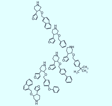 CC(C)(C)c1ccc(COC2CNCCC2c2ccoc2)cc1.c1ccc(-c2ccc(COC3CNCCC3c3ccoc3)cc2)cc1.c1ccc(COC2CNCCC2c2ccoc2)cc1.c1ccc(Oc2ccc(COC3CNCCC3c3ccoc3)cc2)cc1.c1ccc2c(COC3CNCCC3c3ccoc3)cccc2c1.c1ccc2cc(COC3CNCCC3c3ccoc3)ccc2c1